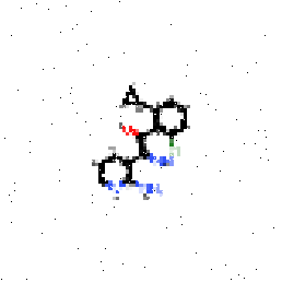 N=C(C(=O)c1c(Cl)cccc1C1CC1)c1cccnc1N